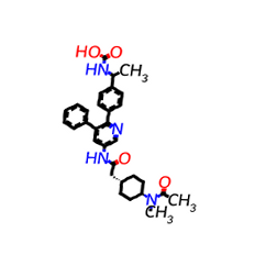 CC(=O)N(C)[C@H]1CC[C@H](CC(=O)Nc2cnc(-c3ccc(C(C)NC(=O)O)cc3)c(-c3ccccc3)c2)CC1